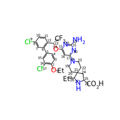 CCOc1ccc(-c2cc(Cl)ccc2[C@@H](Oc2cc(N3CCC4(CC3)CC(C(=O)O)NC4CC)nc(N)n2)C(F)(F)F)cc1Cl